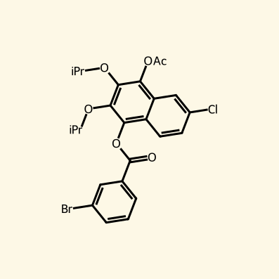 CC(=O)Oc1c(OC(C)C)c(OC(C)C)c(OC(=O)c2cccc(Br)c2)c2ccc(Cl)cc12